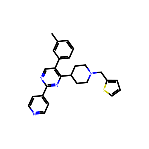 Cc1cccc(-c2cnc(-c3ccncc3)nc2C2CCN(Cc3cccs3)CC2)c1